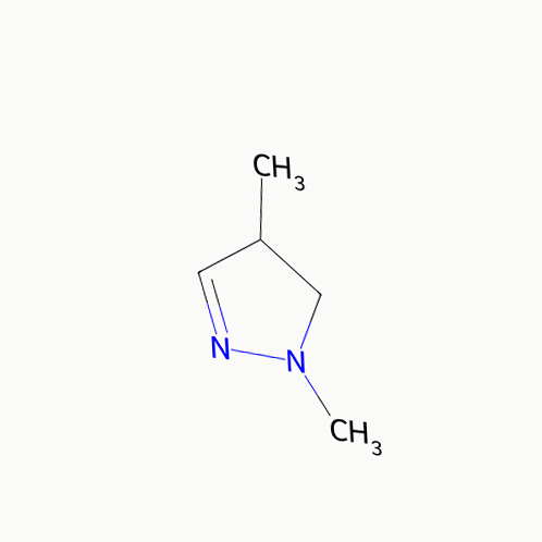 CC1C=NN(C)C1